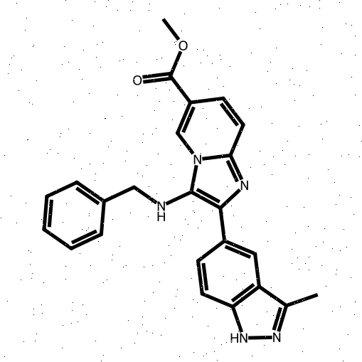 COC(=O)c1ccc2nc(-c3ccc4[nH]nc(C)c4c3)c(NCc3ccccc3)n2c1